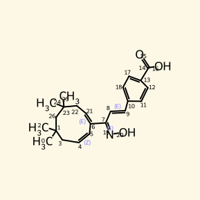 CC1(C)C\C=C/C(C(/C=C/c2ccc(C(=O)O)cc2)=N/O)=C\CC(C)(C)C1